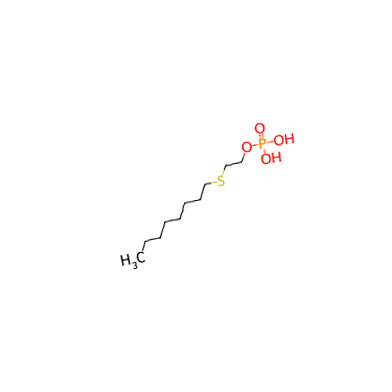 CCCCCCCCSCCOP(=O)(O)O